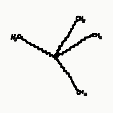 CCCCCCCCCCCCCCCCCCC[N+](CCCCCCCCCCCCCCCCCCC)(CCCCCCCCCCCCCCCCCCC)CCCCCCCCCCCCCCCCCCC